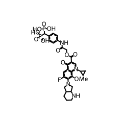 COc1c(N2CC3CCCNC3C2)c(F)cc2c(=O)c(C(=O)OCC(=O)Nc3ccc(C(P(=O)(O)O)P(=O)(O)O)cc3)cn(C3CC3)c12